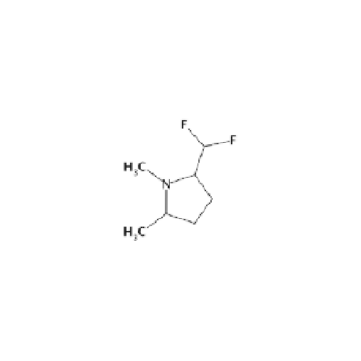 CC1CCC(C(F)F)N1C